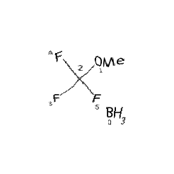 B.COC(F)(F)F